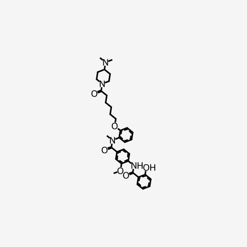 COc1cc(C(=O)N(C)c2ccccc2OCCCCCC(=O)N2CCC(N(C)C)CC2)ccc1NC(=O)c1ccccc1O